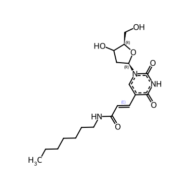 CCCCCCCNC(=O)/C=C/c1cn([C@H]2CC(O)[C@@H](CO)O2)c(=O)[nH]c1=O